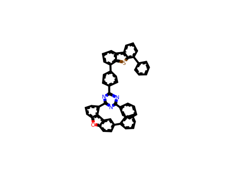 c1ccc(-c2ccc3oc4cccc(-c5nc(-c6ccccc6)nc(-c6ccc(-c7cccc8c7sc7c(-c9ccccc9)cccc78)cc6)n5)c4c3c2)cc1